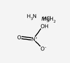 Cl.N.O=[N+]([O-])O.[MgH2]